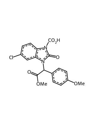 COC(=O)C(c1ccc(OC)cc1)n1c(=O)n(C(=O)O)c2ccc(Cl)cc21